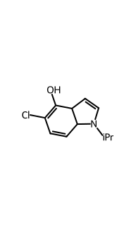 CC(C)N1C=CC2C(O)=C(Cl)C=CC21